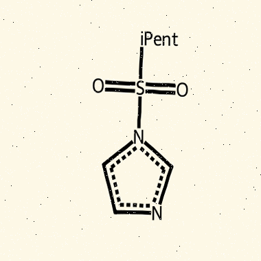 CCCC(C)S(=O)(=O)n1ccnc1